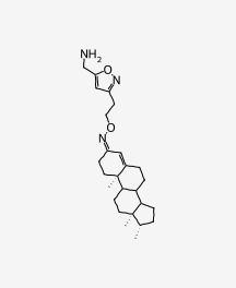 C[C@H]1CCC2C3CCC4=CC(=NOCCc5cc(CN)on5)CC[C@]4(C)C3CC[C@@]21C